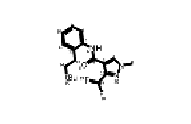 Cn1cc(C(=O)Nc2ccccc2CCC(C)(C)C)c(C(F)F)n1